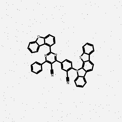 N#Cc1cc(-c2nc(-c3cccc4oc5ccccc5c34)nc(-c3ccccc3)c2C#N)ccc1-n1c2ccccc2c2ccc3c4ccccc4sc3c21